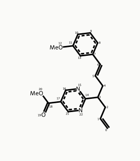 C=CCC(CC=Cc1cccc(OC)c1)c1ncc(C(=O)OC)cn1